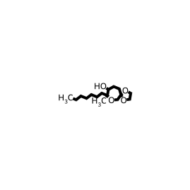 CCCCCCCC1(C)OCC2(CCC1O)OCCO2